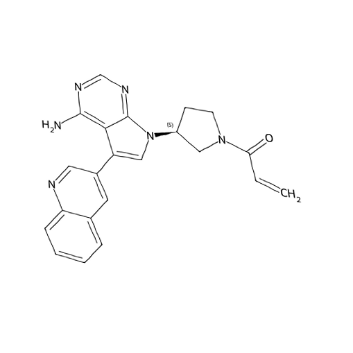 C=CC(=O)N1CC[C@H](n2cc(-c3cnc4ccccc4c3)c3c(N)ncnc32)C1